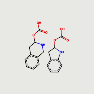 O=C(O)OC1Cc2ccccc2CN1.O=C(O)OC1Cc2ccccc2N1